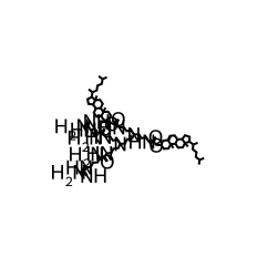 CC(C)CCCC(C)C1CCC2C3CC=C4CC(OC(=O)NCCCN(CCCNC(=O)OC5CCC6(C)C(=CCC7C6CCC6(C)C(C(C)CCCC(C)C)CCC76)C5)CCCN(CCCNC(=O)C(N)CCCNC(=N)N)CCCNC(=O)C(N)CNC(=N)N)CCC4(C)C3CCC12C